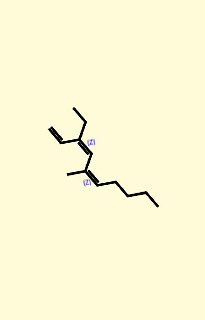 C=C/C(=C\C(C)=C/CCCC)CC